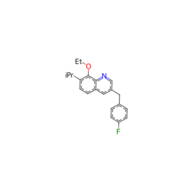 CCOc1c(C(C)C)ccc2cc(Cc3ccc(F)cc3)cnc12